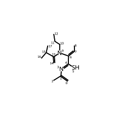 C=C(C)/N=C(S)/C(=C/C)N(CCC)C(=C)C(C)C